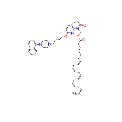 CC/C=C\C/C=C\C/C=C\C/C=C\C/C=C\CCCCCC(=O)OCN1C(=O)CCc2ccc(OCCCCN3CCN(c4cccc5ccccc45)CC3)nc21